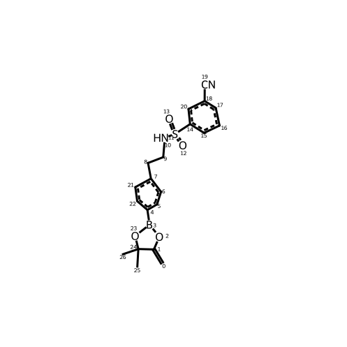 C=C1OB(c2ccc(CCNS(=O)(=O)c3cccc(C#N)c3)cc2)OC1(C)C